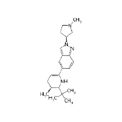 C[C@H]1CC=C(c2ccc3nn([C@H]4CCN(C)C4)cc3c2)NC1C(C)(C)C